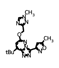 Cc1cc(-c2nnc3c(C(C)(C)C)cc(OCc4ncn(C)n4)nn23)no1